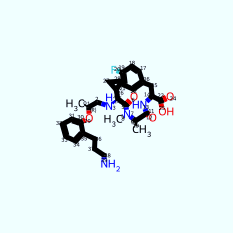 C[C@H](CN[C@H](C(=O)N(C)[C@H](C)C(=O)NC(Cc1ccc(F)cc1)C(=O)O)C1CC1)Oc1ccccc1CCCN